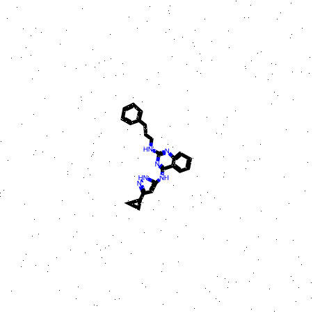 c1ccc(CCCNc2nc(Nc3cc(C4CC4)n[nH]3)c3ccccc3n2)cc1